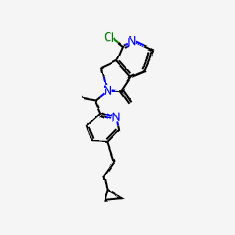 C=C1c2ccnc(Cl)c2CN1C(C)c1ccc(CCC2CC2)cn1